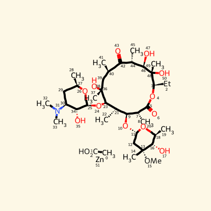 CC(=O)O.CC[C@H]1OC(=O)[C@H](C)[C@@H](O[C@H]2C[C@@](C)(OC)[C@@H](O)[C@H](C)O2)[C@H](C)[C@@H](O[C@@H]2O[C@H](C)C[C@H](N(C)C)[C@H]2O)[C@](C)(O)C[C@@H](C)C(=O)[C@H](C)[C@@H](O)[C@]1(C)O.[Zn]